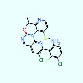 CSc1ccnc(C(C)C)c1-n1c(=O)ncc2cc(Cl)c(-c3c(N)ccc(Cl)c3F)nc21